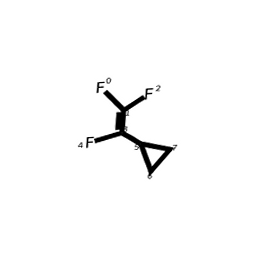 FC(F)=C(F)[C]1CC1